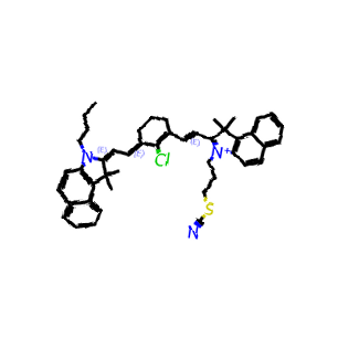 CCCCN1/C(=C/C=C2\CCCC(/C=C/C3=[N+](CCCSC#N)c4ccc5ccccc5c4C3(C)C)=C2Cl)C(C)(C)c2c1ccc1ccccc21